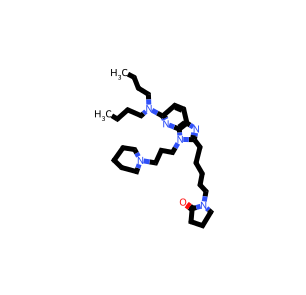 CCCCN(CCCC)c1ccc2nc(CCCCCN3CCCC3=O)n(CCCN3CCCCC3)c2n1